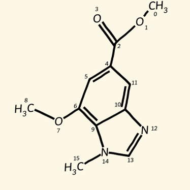 COC(=O)c1cc(OC)c2c(c1)ncn2C